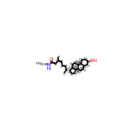 CCCCCCNC(=O)CC(C)CCCC(C)[C@H]1CC[C@H]2[C@@H]3CC=C4C[C@@H](O)CC[C@]4(C)[C@H]3CC[C@]12C